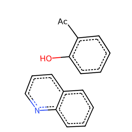 CC(=O)c1ccccc1O.c1ccc2ncccc2c1